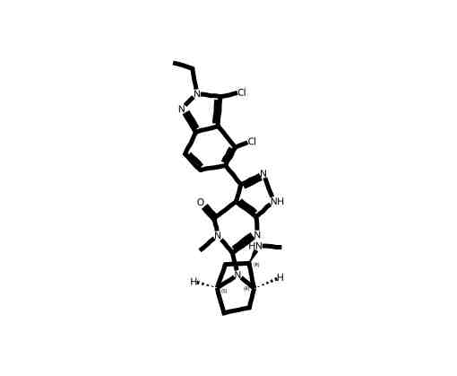 CCn1nc2ccc(-c3n[nH]c4nc(N5[C@H]6CC[C@@H]5[C@H](NC)C6)n(C)c(=O)c34)c(Cl)c2c1Cl